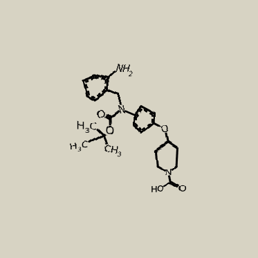 CC(C)(C)OC(=O)N(Cc1ccccc1N)c1ccc(OC2CCN(C(=O)O)CC2)cc1